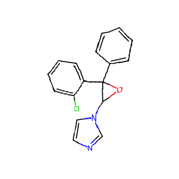 Clc1ccccc1C1(c2ccccc2)OC1n1ccnc1